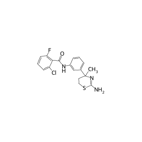 CC1(c2cccc(NC(=O)c3c(F)cccc3Cl)c2)CCSC(N)=N1